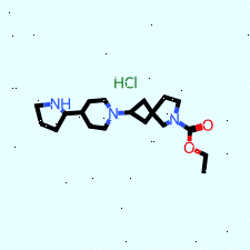 CCOC(=O)N1CCC2(CC(N3CCC(C4CCCN4)CC3)C2)C1.Cl